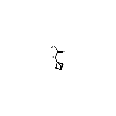 O=CC(=O)NC12CC(C1)C2